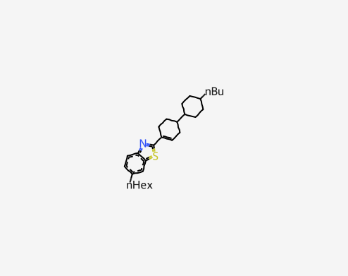 CCCCCCc1ccc2nc(C3=CCC(C4CCC(CCCC)CC4)CC3)sc2c1